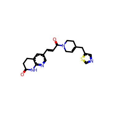 O=C1CCc2cc(C=CC(=O)N3CC=C(Cc4cncs4)CC3)cnc2N1